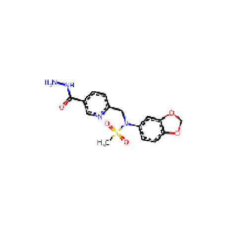 CS(=O)(=O)N(Cc1ccc(C(=O)NN)cn1)c1ccc2c(c1)OCO2